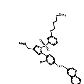 CNCc1cc(-c2ccc(OCc3ccc4ccccc4c3)cc2F)n(S(=O)(=O)c2cccc(OCCCCOC)c2)c1